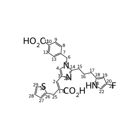 O=C(O)/C(=C\c1cn(Cc2ccc(C(=O)O)cc2)c(CCCc2cc(F)c[nH]2)n1)Cc1cccs1